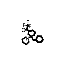 O=C(C1=CC=CC(Cc2ccccc2)(N2CCCCC2)C1)C(F)(F)F